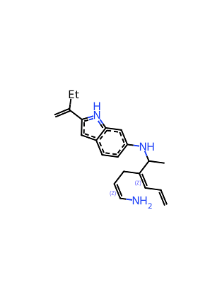 C=C/C=C(/C/C=C\N)C(C)Nc1ccc2cc(C(=C)CC)[nH]c2c1